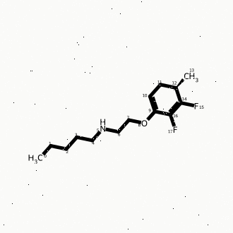 CCCCCNCCOC1=CC[C@@H](C)C(F)=C1F